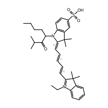 CCCCC(C(=O)C(C)C)N1/C(=C/C=C/C=C/C2=[N+](CC)c3ccccc3C2(C)C)C(C)(C)c2cc(S(=O)(=O)O)ccc21